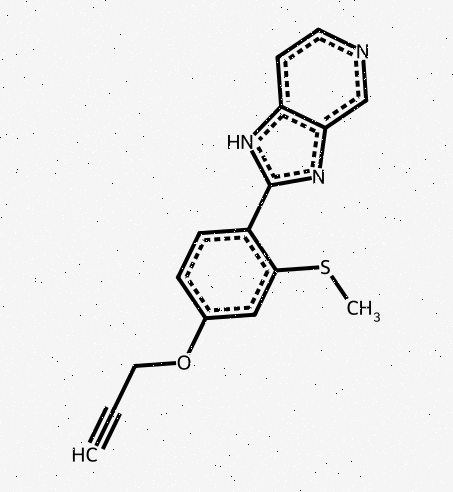 C#CCOc1ccc(-c2nc3cnccc3[nH]2)c(SC)c1